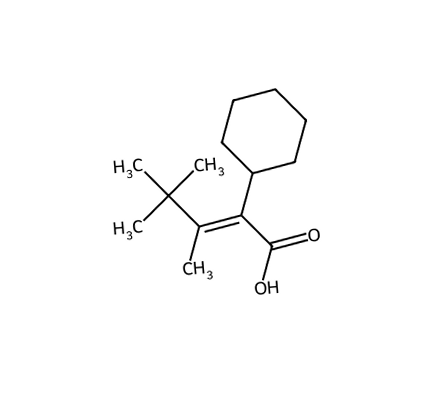 CC(=C(C(=O)O)C1CCCCC1)C(C)(C)C